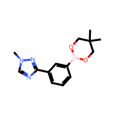 Cn1cnc(-c2cccc(B3OCC(C)(C)CO3)c2)n1